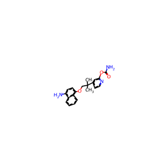 CC(C)(COc1ccc(N)c2ccccc12)c1ccnc(OC(N)=O)c1